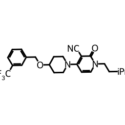 CC(C)CCn1ccc(N2CCC(OCc3cccc(C(F)(F)F)c3)CC2)c(C#N)c1=O